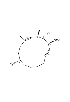 CO[C@H]1/C=C/CCCC[C@H](N)CC/C(C)=C\[C@@H](C)[C@@H]1O